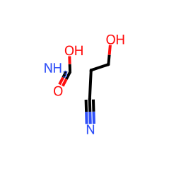 N.N#CCCO.O=CO